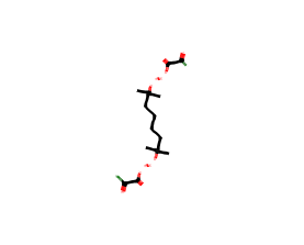 CC(C)(CCCCC(C)(C)OOC(=O)C(=O)Cl)OOC(=O)C(=O)Cl